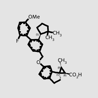 COc1ccc(F)c(-c2ccc(COc3ccc4c(c3)[C@@]3(CC4)[C@H](C)[C@H]3C(=O)O)cc2[C@H]2CCCC2(C)C)c1